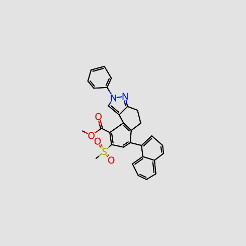 COC(=O)c1c(S(C)(=O)=O)cc(-c2cccc3ccccc23)c2c1-c1cn(-c3ccccc3)nc1CC2